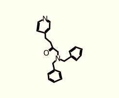 O=C(CCc1ccncc1)CN(Cc1ccccc1)Cc1ccccc1